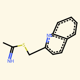 CC(=N)SCc1ccc2ccccc2n1